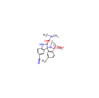 COc1ccc(C)cc1C1(N2C[C@H](O)C[C@H]2C(=O)N(C)C)C(=O)Nc2ccc(C#N)cc21